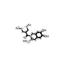 CC(=O)SCC(CSC(C)=O)C(=O)N1Cc2cc(O)c(O)cc2C[C@H]1C(=O)O